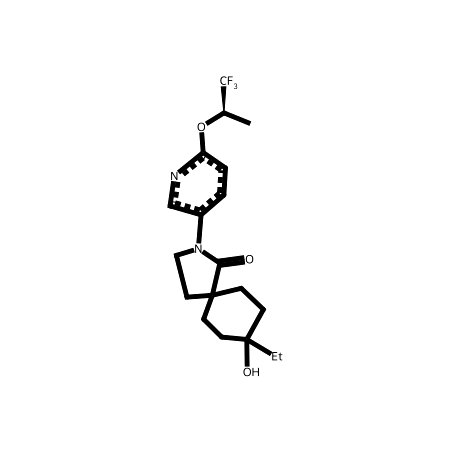 CCC1(O)CCC2(CCN(c3ccc(O[C@H](C)C(F)(F)F)nc3)C2=O)CC1